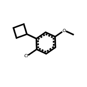 COc1ccc(Cl)c(C2CCC2)c1